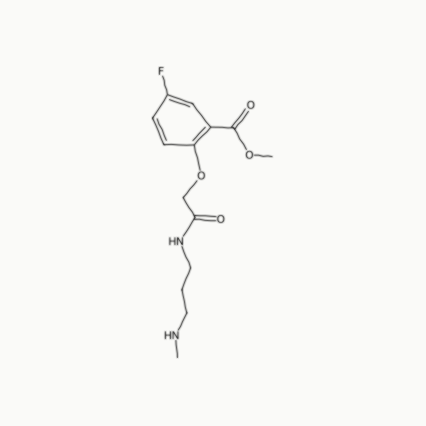 CNCCCNC(=O)COc1ccc(F)cc1C(=O)OC